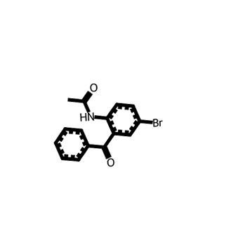 CC(=O)Nc1ccc(Br)cc1C(=O)c1ccccc1